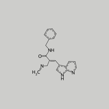 C=NC/C(=C\c1c[nH]c2ncccc12)C(=O)NCc1ccccc1